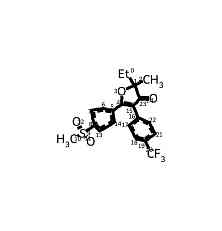 CCC1(C)OC(c2ccc(S(C)(=O)=O)cc2)=C(c2ccc(C(F)(F)F)cc2)C1=O